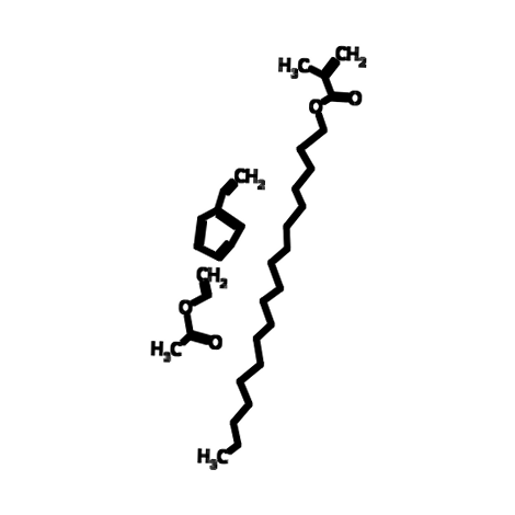 C=C(C)C(=O)OCCCCCCCCCCCCCCCCCC.C=COC(C)=O.C=Cc1ccccc1